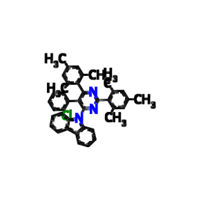 Cc1cc(C)c(-c2nc(-c3c(C)cc(C)cc3C)c(-c3ccccc3Cl)c(-n3c4ccccc4c4ccccc43)n2)c(C)c1